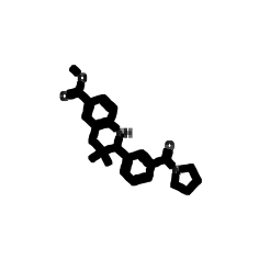 COC(=O)c1ccc2c(c1)CC(C)(C)C(c1cccc(C(=O)N3CCCC3)c1)N2